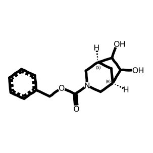 O=C(OCc1ccccc1)N1C[C@H]2C[C@@H](C1)C(O)C2O